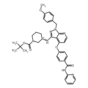 COc1ccc(Cn2nc(N[C@@H]3CCCN(C(=O)OC(C)(C)C)C3)c3c(Oc4ccc(C(=O)Nc5ccccn5)cc4)ccnc32)cc1